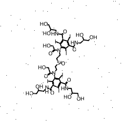 O=C(NCC(O)CO)c1c(I)c(C(=O)NCC(O)CO)c(I)c(N(CC[S+]([O-])CCN(C(=O)CO)c2c(I)c(C(=O)NCC(O)CO)c(I)c(C(=O)NCC(O)CO)c2I)C(=O)CO)c1I